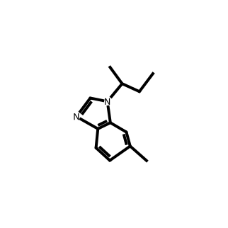 CCC(C)n1cnc2ccc(C)cc21